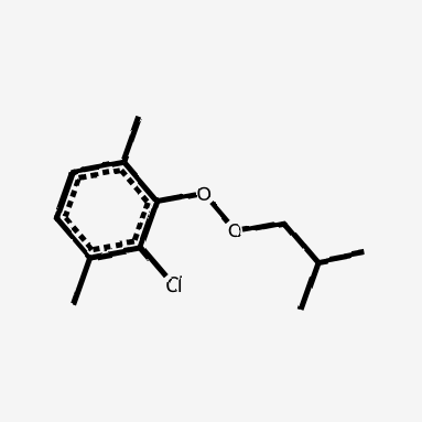 Cc1ccc(C)c(OOCC(C)C)c1Cl